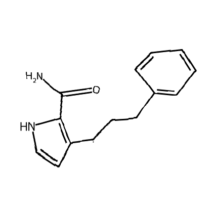 NC(=O)c1[nH]ccc1[CH]CCc1ccccc1